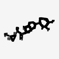 Cc1c(-c2ccc3nc(NC(=O)[C@@H]4C[C@@H]4F)cn3c2)ccc(F)c1F